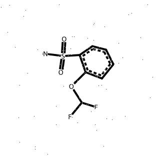 [N]S(=O)(=O)c1ccccc1OC(F)F